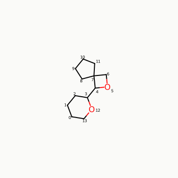 C1CCC(C2OCC23CCCC3)OC1